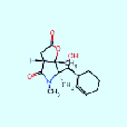 CN1C(=O)[C@@H]2CC(=O)O[C@]2(C)[C@@]1(C)C(O)[C@@H]1C=CCCC1